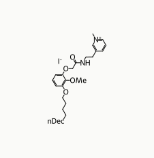 CCCCCCCCCCCCCCOc1cccc(OCC(=O)NCCc2ccc[n+](C)c2)c1OC.[I-]